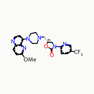 COc1ccc2nccc(N3CCN(C[C@@H]4CN(c5ccc(C(F)(F)F)cn5)C(=O)O4)CC3)c2n1